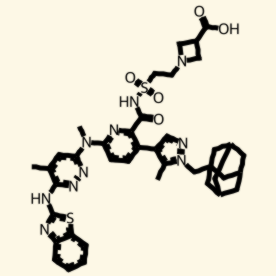 Cc1cc(N(C)c2ccc(-c3cnn(CC45CC6CC(CC(C6)C4)C5)c3C)c(C(=O)NS(=O)(=O)CCN3CC(C(=O)O)C3)n2)nnc1Nc1nc2ccccc2s1